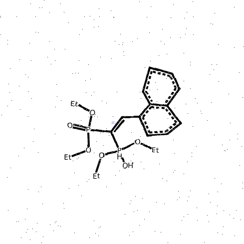 CCOP(=O)(OCC)/C(=C/c1cccc2ccccc12)[PH](O)(OCC)OCC